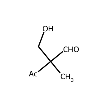 CC(=O)C(C)(C=O)CO